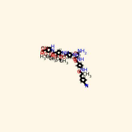 C/C(=C\c1ccc(C#N)cc1)C(=O)Nc1ccc(C(=O)N[C@@H](CC(N)=O)C(=O)Nc2ccc(C(=O)Nc3ccc(C(=O)Nc4ccc(C(=O)O)c(O)c4OC(C)C)c(O)c3OC(C)C)cc2)cc1